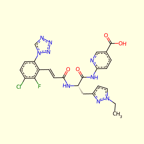 CCn1ccc(C[C@H](NC(=O)C=Cc2c(-n3cnnn3)ccc(Cl)c2F)C(=O)Nc2ccc(C(=O)O)cn2)n1